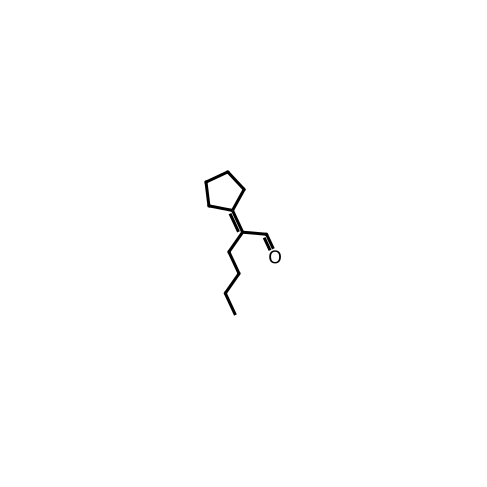 CCCCC(C=O)=C1CCCC1